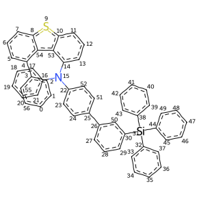 c1ccc(-c2cccc3sc4cccc(N(c5ccccc5)c5ccc(-c6cccc([Si](c7ccccc7)(c7ccccc7)c7ccccc7)c6)cc5)c4c23)cc1